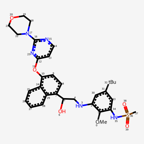 COc1c(NCC(O)c2ccc(Oc3ccnc(N4CCOCC4)n3)c3ccccc23)cc(C(C)(C)C)cc1NS(C)(=O)=O